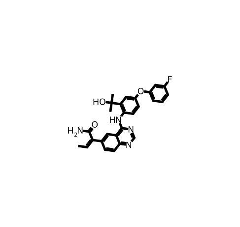 CC=C(C(N)=O)c1ccc2ncnc(Nc3ccc(Oc4cccc(F)c4)cc3C(C)(C)O)c2c1